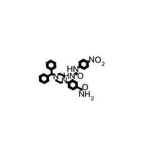 NC(=O)c1ccc(N2CCN(C(c3ccccc3)c3ccccc3)CC2)c(NC(=O)Nc2ccc([N+](=O)[O-])cc2)c1